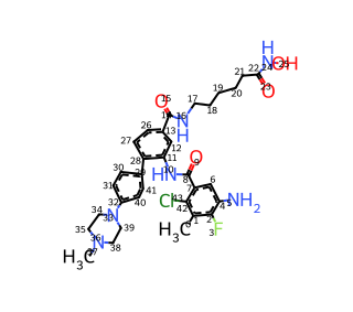 Cc1c(F)c(N)cc(C(=O)Nc2cc(C(=O)NCCCCCC(=O)NO)ccc2-c2ccc(N3CCN(C)CC3)cc2)c1Cl